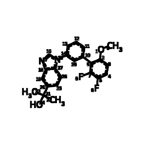 COc1ccc(F)c(F)c1-c1cccc(-n2cnc3cc(C(C)(C)O)ccc32)c1